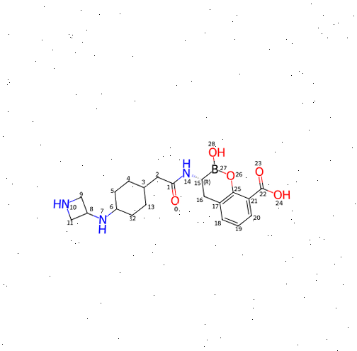 O=C(CC1CCC(NC2CNC2)CC1)N[C@H]1Cc2cccc(C(=O)O)c2OB1O